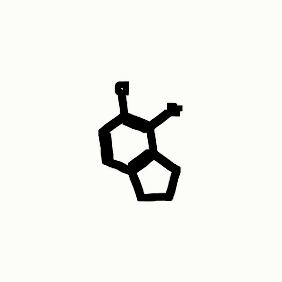 Clc1ccc2c(c1Br)CCC2